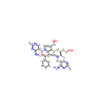 CC(=C(CCO)SSC(CCO)=C(CC(=O)c1ccccc1)N(C=O)Cc1cnc(C)nc1N)N(C=O)Cc1cnc(C)nc1N